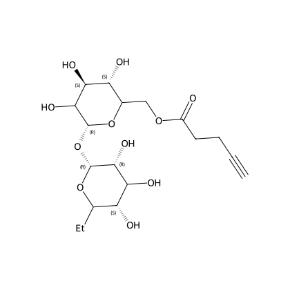 C#CCCC(=O)OCC1O[C@H](O[C@H]2OC(CC)[C@@H](O)C(O)[C@H]2O)C(O)[C@@H](O)[C@@H]1O